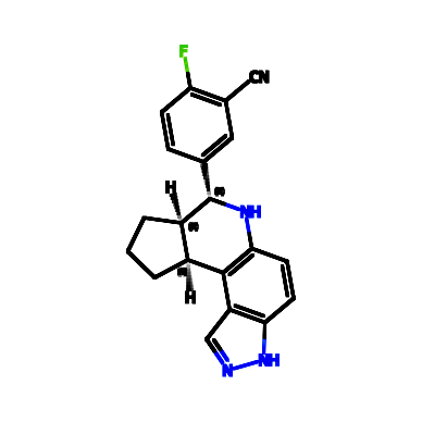 N#Cc1cc([C@@H]2Nc3ccc4[nH]ncc4c3[C@H]3CCC[C@H]32)ccc1F